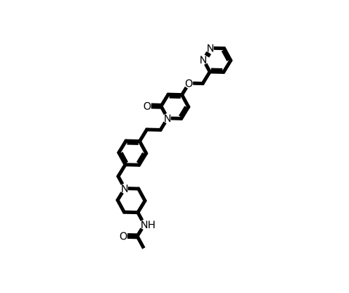 CC(=O)NC1CCN(Cc2ccc(CCn3ccc(OCc4cccnn4)cc3=O)cc2)CC1